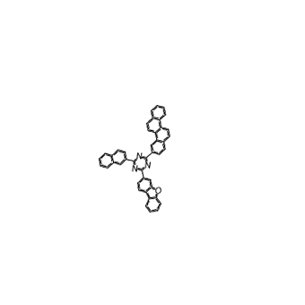 c1ccc2cc(-c3nc(-c4ccc5c(c4)oc4ccccc45)nc(-c4ccc5ccc6c7ccccc7ccc6c5c4)n3)ccc2c1